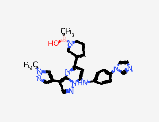 CB(O)N1CCCC(c2cc(Nc3ccc(-n4ccnc4)cc3)n3ncc(-c4cnn(C)c4)c3n2)C1